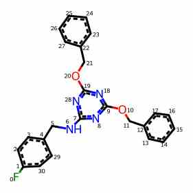 Fc1ccc(CNc2nc(OCc3ccccc3)nc(OCc3ccccc3)n2)cc1